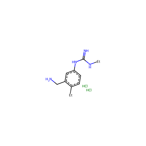 CCNC(=N)Nc1ccc(CC)c(CN)c1.Cl.Cl